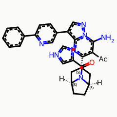 CC(=O)c1c([C@@H]2C[C@H]3CC[C@@H](C2)N3C(=O)c2c[nH]cn2)nc2c(-c3ccc(-c4ccccc4)nc3)cnn2c1N